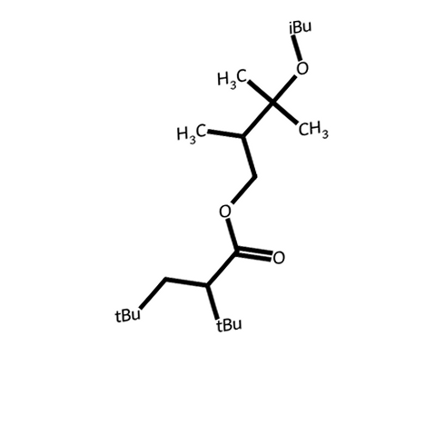 CCC(C)OC(C)(C)C(C)COC(=O)C(CC(C)(C)C)C(C)(C)C